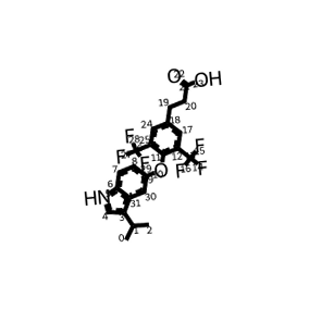 CC(C)c1c[nH]c2ccc(Oc3c(C(F)(F)F)cc(CCC(=O)O)cc3C(F)(F)F)cc12